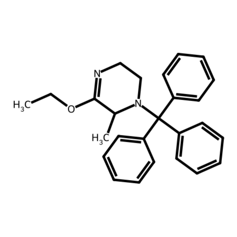 CCOC1=NCCN(C(c2ccccc2)(c2ccccc2)c2ccccc2)C1C